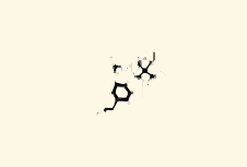 C=CCc1ccc(OC2NC(=O)C2(CC)CC)cc1.CC(=O)O